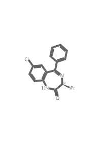 CC(C)[C@@H]1N=C(c2ccccc2)c2cc(Cl)ccc2NC1=O